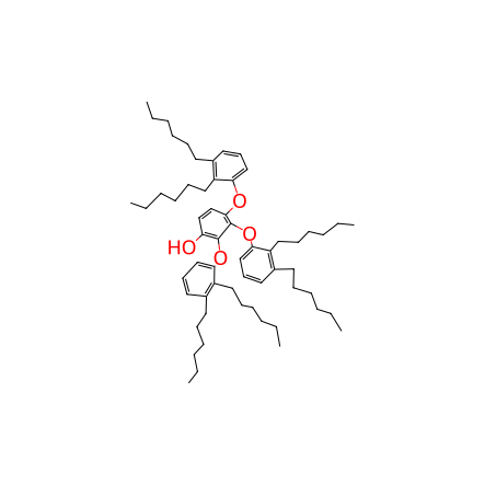 CCCCCCc1cccc(Oc2ccc(O)c(Oc3cccc(CCCCCC)c3CCCCCC)c2Oc2cccc(CCCCCC)c2CCCCCC)c1CCCCCC